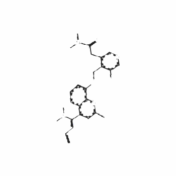 C=C/C=C(/c1cc(C)nc2c(OCc3c(Cl)cncc3CC(=O)N(C)C)cccc12)N(C)C